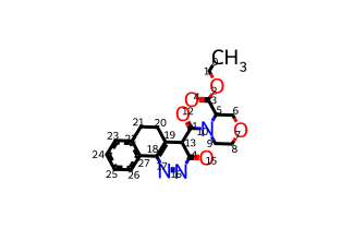 CCOC(=O)C1COCCN1C(=O)C1C(=O)N=NC2=C1CCc1ccccc12